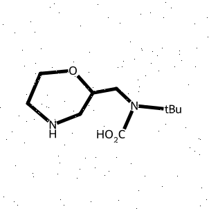 CC(C)(C)N(CC1CNCCO1)C(=O)O